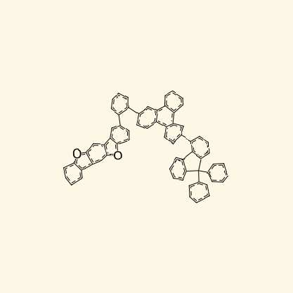 c1ccc(C2(c3ccccc3)c3ccccc3-c3c(-c4ccc5c6ccc(-c7ccccc7-c7ccc8oc9cc%10c(cc9c8c7)oc7ccccc7%10)cc6c6ccccc6c5c4)cccc32)cc1